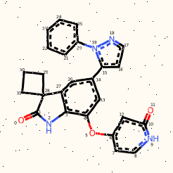 O=C1Nc2c(Oc3cc[nH]c(=O)c3)cc(-c3ccnn3-c3ccccc3)cc2C12CCC2